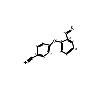 N#Cc1ccc(Oc2ccccc2C=O)cc1